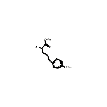 COC(=O)C(CCCc1ccc(OC)cc1)C(C)=O